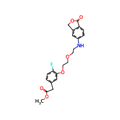 COC(=O)Cc1ccc(F)c(OCCOCCNc2ccc3c(c2)COC3=O)c1